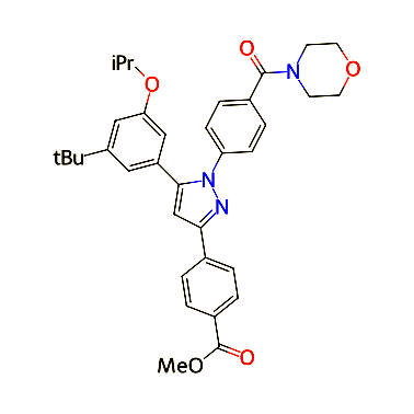 COC(=O)c1ccc(-c2cc(-c3cc(OC(C)C)cc(C(C)(C)C)c3)n(-c3ccc(C(=O)N4CCOCC4)cc3)n2)cc1